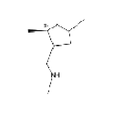 CNCC1CC(C)C[C@@H]1C